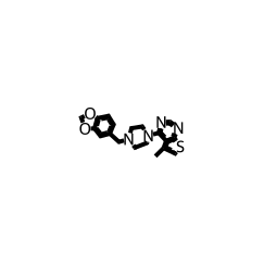 Cc1csc2ncnc(N3CCN(Cc4ccc5c(c4)OCO5)CC3)c12